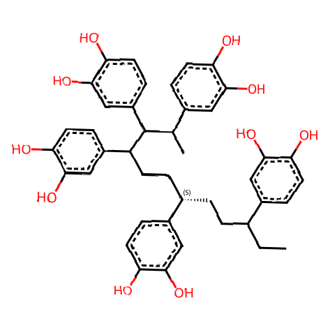 CCC(CC[C@@H](CCC(c1ccc(O)c(O)c1)C(c1ccc(O)c(O)c1)C(C)c1ccc(O)c(O)c1)c1ccc(O)c(O)c1)c1ccc(O)c(O)c1